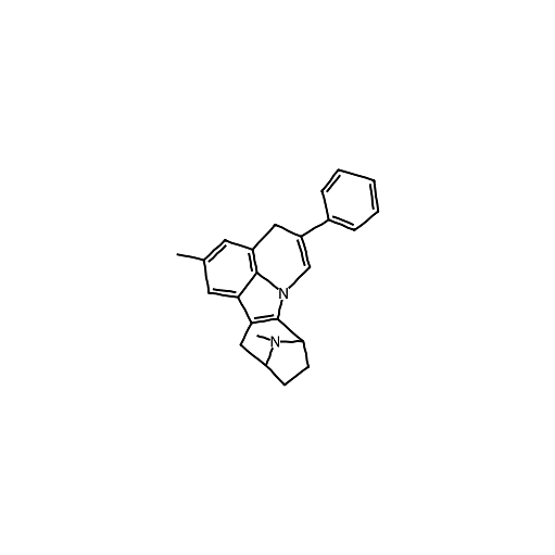 Cc1cc2c3c(c1)c1c(n3C=C(c3ccccc3)C2)C2CCC(C1)N2C